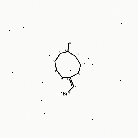 CC1CCCC/C(=C\Br)CCC1